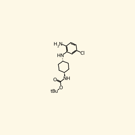 CC(C)(C)OC(=O)N[C@H]1CC[C@H](Nc2cc(Cl)ccc2N)CC1